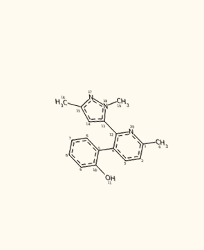 Cc1ccc(-c2ccccc2O)c(-c2cc(C)nn2C)n1